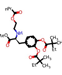 CCCC(=O)OCCN[C@@H](Cc1ccc(OC(=O)C(C)(C)CC)c(OC(=O)C(C)(C)CC)c1)C(=O)OC